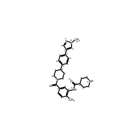 Cc1ccc(C(=O)N2CCC(c3ccc(-c4cnn(C)c4)cc3)CC2)cc1NC(=O)C1CCNCC1